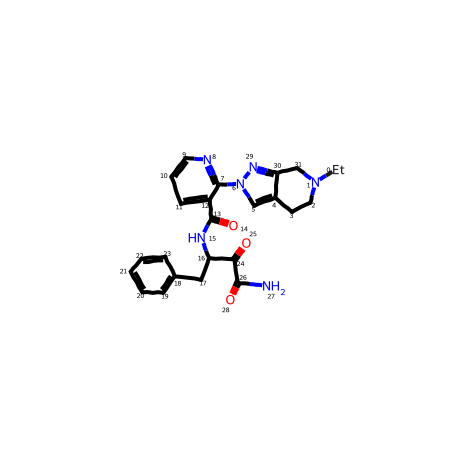 CCN1CCc2cn(-c3ncccc3C(=O)NC(Cc3ccccc3)C(=O)C(N)=O)nc2C1